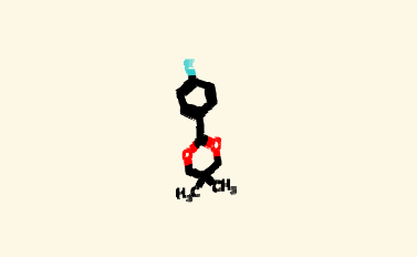 CC1(C)COC(c2ccc(F)cc2)OC1